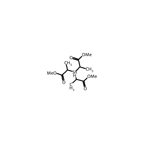 COC(=O)[CH](C)[SnH]([CH](C)C(=O)OC)[CH](C)C(=O)OC